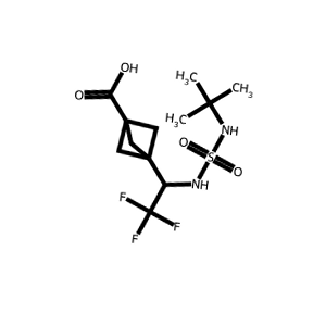 CC(C)(C)NS(=O)(=O)NC(C(F)(F)F)C12CC(C(=O)O)(C1)C2